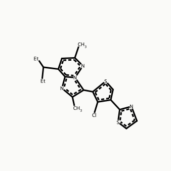 CCC(CC)c1cc(C)nn2c(-c3scc(-c4nccs4)c3Cl)c(C)nc12